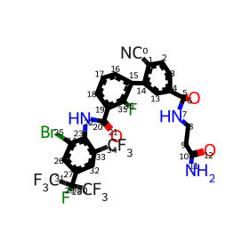 N#Cc1ccc(C(=O)NCCC(N)=O)cc1-c1cccc(C(=O)Nc2c(Br)cc(C(F)(C(F)(F)F)C(F)(F)F)cc2C(F)(F)F)c1F